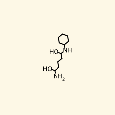 NC(O)CCCC(O)NC1CCCCC1